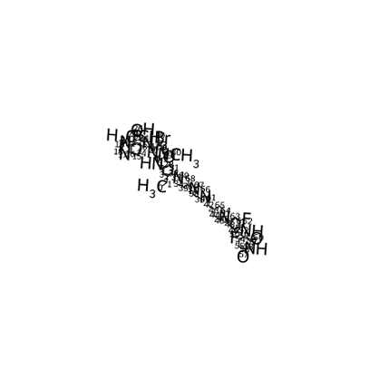 CCc1cc(Nc2ncc(Br)c(Nc3ccc4nccnc4c3P(C)(C)=O)n2)c(OC)cc1N1CCC(N2CCN(CCC3CCN(c4cc(F)c(NC5CCC(=O)NC5=O)c(F)c4)CC3)CC2)CC1